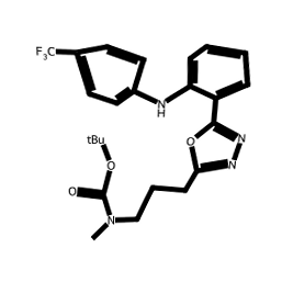 CN(CCCc1nnc(-c2ccccc2Nc2ccc(C(F)(F)F)cc2)o1)C(=O)OC(C)(C)C